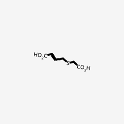 O=C(O)C=CCSCC(=O)O